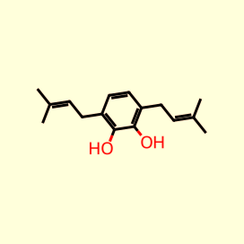 CC(C)=CCc1ccc(CC=C(C)C)c(O)c1O